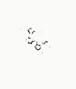 C=CC(O)Nc1cc(C)ccc1Nc1nc(Nc2cc(OC)ncc2C)ncc1C(F)(F)F